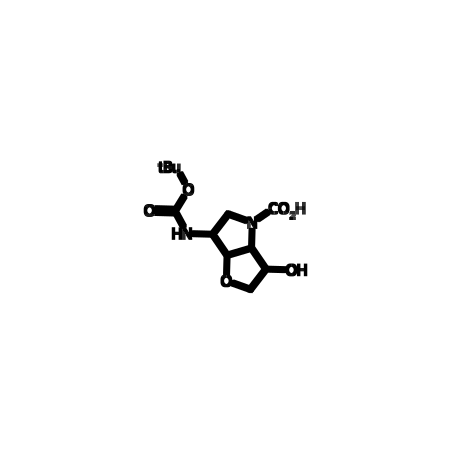 CC(C)(C)OC(=O)NC1CN(C(=O)O)C2C(O)COC12